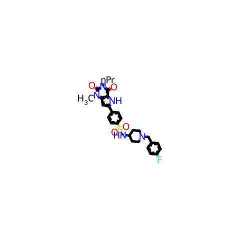 CCCn1c(=O)c2[nH]c(-c3ccc(S(=O)(=O)NC4CCN(Cc5ccc(F)cc5)CC4)cc3)cc2n(C)c1=O